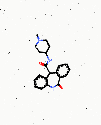 CN1CCC(NC(=O)C2c3ccccc3NC(=O)c3ccccc32)CC1